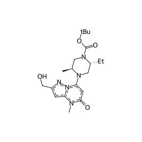 CC[C@@H]1CN(c2cc(=O)n(C)c3cc(CO)nn23)[C@@H](C)CN1C(=O)OC(C)(C)C